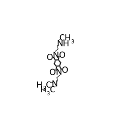 CCNCCCn1c(=O)c2cc3c(=O)n(CCCN(CC)CC)c(=O)c3cc2c1=O